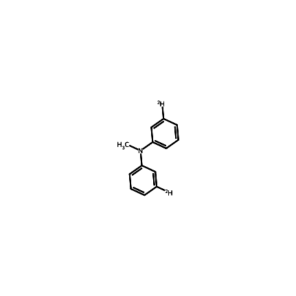 [2H]c1cccc(N(C)c2cccc([2H])c2)c1